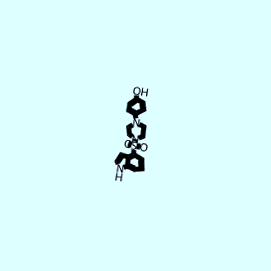 O=S(=O)(c1cccc2[nH]ccc12)N1CCN(c2ccc(O)cc2)CC1